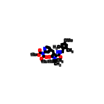 COc1cc(C)c(CNC(=O)[C@@H]2C(Cc3ccnc(N(C(=O)OC(C)(C)C)C(=O)OC(C)(C)C)c3)C(=O)N2[Si](C)(C)C(C)(C)C)c(C)c1